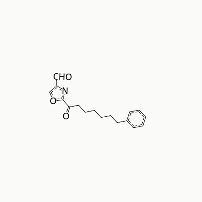 O=Cc1coc(C(=O)CCCCCCc2ccccc2)n1